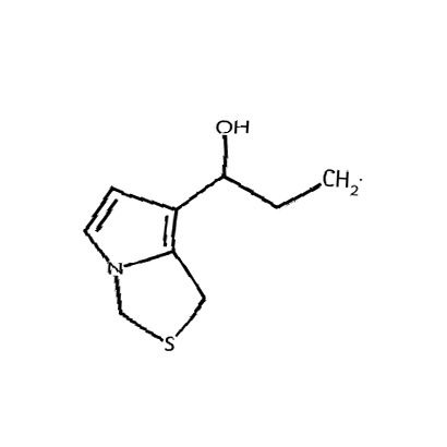 [CH2]CC(O)c1ccn2c1CSC2